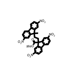 COC(=O)C1(CCC2(C)c3cc([N+](=O)[O-])ccc3-c3ccc([N+](=O)[O-])cc32)c2cc([N+](=O)[O-])ccc2-c2ccc([N+](=O)[O-])cc21